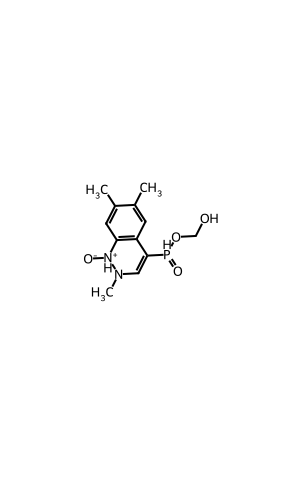 Cc1cc2c(cc1C)[NH+]([O-])N(C)C=C2[PH](=O)OCO